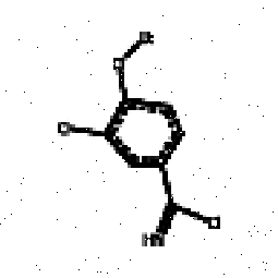 CCOc1ccc(C(=N)Cl)cc1Cl